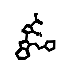 Cn1c([N+](=O)[O-])cnc1-c1nc2ccccc2n1CCN1CCCC1